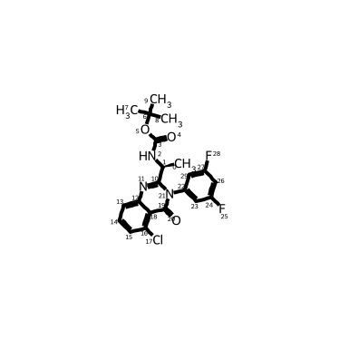 C[C@H](NC(=O)OC(C)(C)C)c1nc2cccc(Cl)c2c(=O)n1-c1cc(F)cc(F)c1